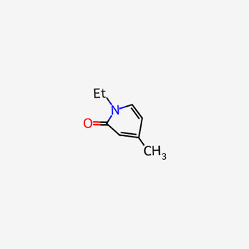 [CH2]Cn1ccc(C)cc1=O